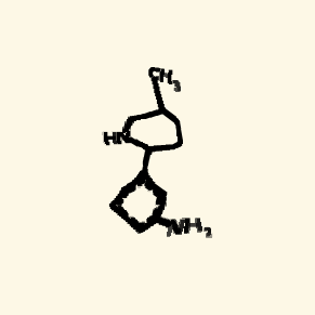 CC1CCC(c2cccc(N)c2)NC1